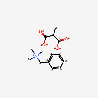 CC(C(=O)O)C(=O)O.C[N+](C)(C)Cc1ccccc1